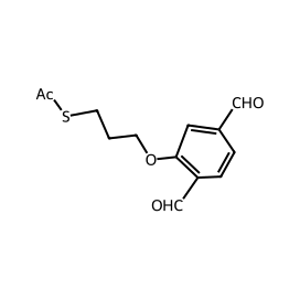 CC(=O)SCCCOc1cc(C=O)ccc1C=O